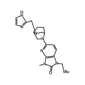 Cn1c(=O)n(CC(C)(C)C)c2ccc(N3CC4CCC3CN4Cc3ncc[nH]3)nc21